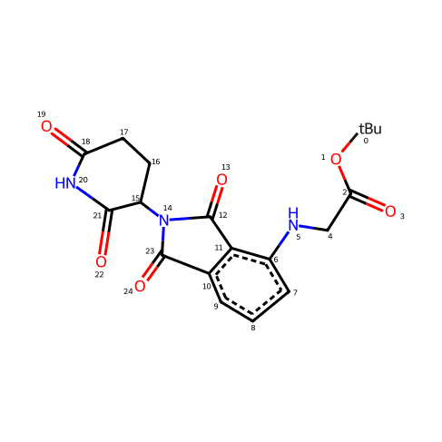 CC(C)(C)OC(=O)CNc1cccc2c1C(=O)N(C1CCC(=O)NC1=O)C2=O